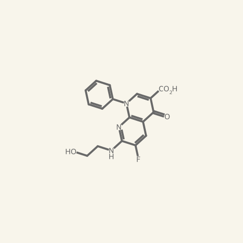 O=C(O)c1cn(-c2ccccc2)c2nc(NCCO)c(F)cc2c1=O